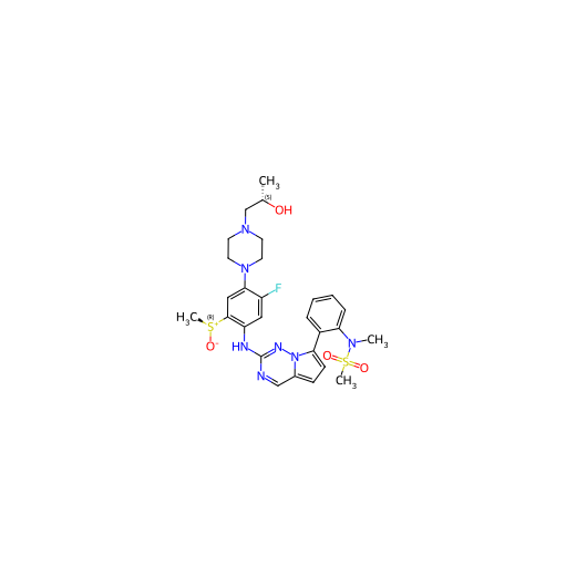 C[C@H](O)CN1CCN(c2cc([S@+](C)[O-])c(Nc3ncc4ccc(-c5ccccc5N(C)S(C)(=O)=O)n4n3)cc2F)CC1